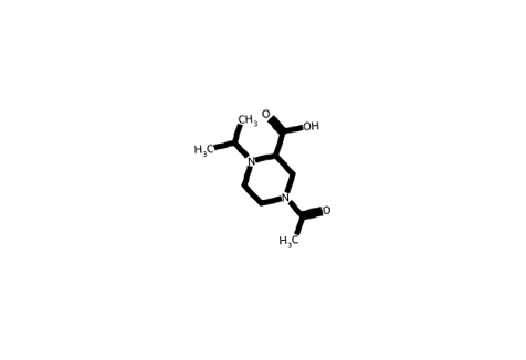 CC(=O)N1CCN(C(C)C)C(C(=O)O)C1